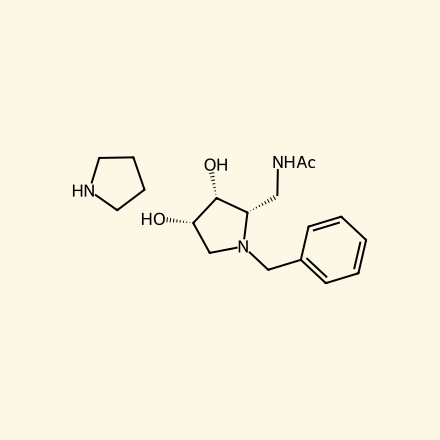 C1CCNC1.CC(=O)NC[C@H]1[C@@H](O)[C@@H](O)CN1Cc1ccccc1